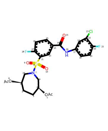 CC(=O)O[C@@H]1CC[C@H](OC(C)=O)CN(S(=O)(=O)c2cc(C(=O)Nc3ccc(F)c(Cl)c3)ccc2F)C1